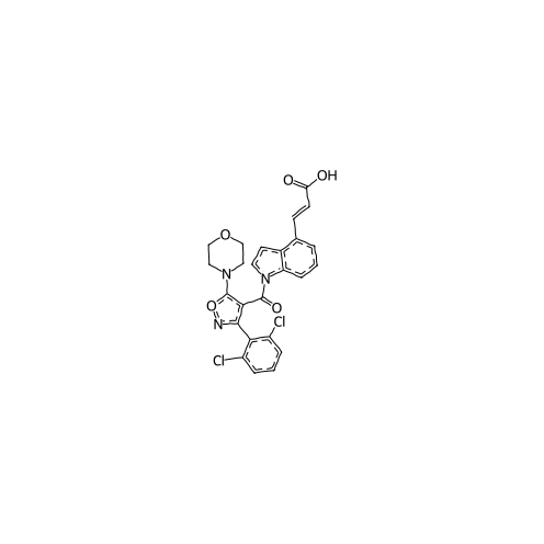 O=C(O)/C=C/c1cccc2c1ccn2C(=O)c1c(-c2c(Cl)cccc2Cl)noc1N1CCOCC1